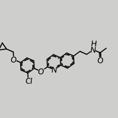 CC(=O)NCCc1ccc2nc(Oc3ccc(OCC4CC4)cc3Cl)ccc2c1